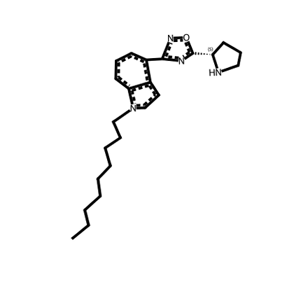 CCCCCCCCCn1ccc2c(-c3noc([C@@H]4CCCN4)n3)cccc21